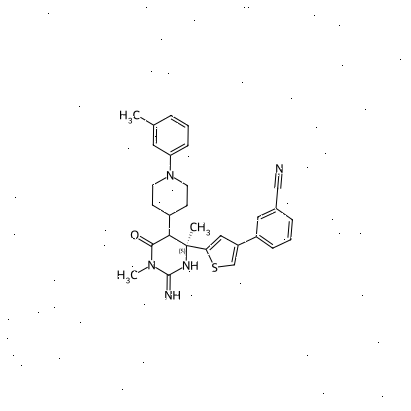 Cc1cccc(N2CCC(C3C(=O)N(C)C(=N)N[C@]3(C)c3cc(-c4cccc(C#N)c4)cs3)CC2)c1